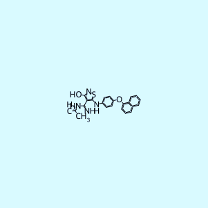 CC(C)NC(=N)c1c(O)nsc1Nc1ccc(Oc2cccc3ccccc23)cc1